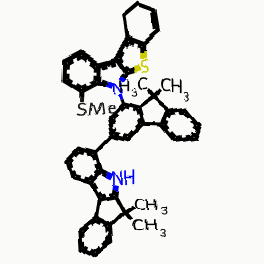 CSc1cccc2c3c4c(sc3n(-c3cc(-c5cccc6c7c([nH]c56)C(C)(C)c5ccccc5-7)cc5c3C(C)(C)c3ccccc3-5)c12)C=CCC4